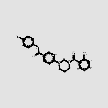 O=C(Nc1ccc(F)cc1)c1ccc(N2CCCN(C(=O)c3ccccc3C(F)(F)F)C2)nc1